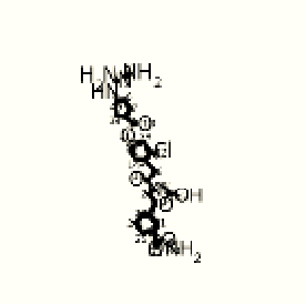 NN=C(N)Nc1ccc(C(=O)Oc2ccc(CC(=O)N(CCc3cccc(C(=O)ON)c3)CC(=O)O)c(Cl)c2)cc1